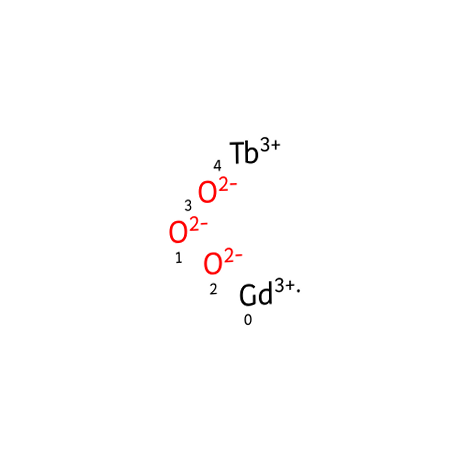 [Gd+3].[O-2].[O-2].[O-2].[Tb+3]